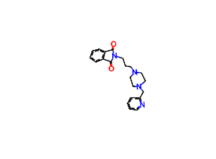 O=C1c2ccccc2C(=O)N1CCCN1CCN(Cc2ccccn2)CC1